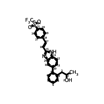 CC(O)Cc1ccccc1-c1ccc2[nH]c(C=Cc3ccc(S(=O)(=O)C(F)(F)F)cc3)nc2c1